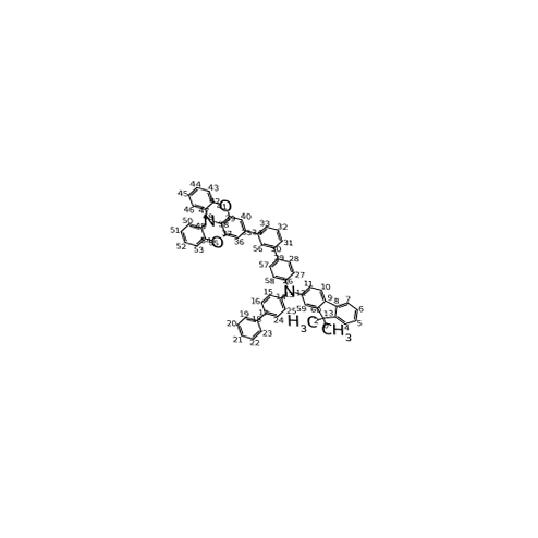 CC1(C)c2ccccc2-c2ccc(N(c3ccc(-c4ccccc4)cc3)c3ccc(-c4cccc(-c5cc6c7c(c5)Oc5ccccc5N7c5ccccc5O6)c4)cc3)cc21